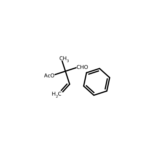 C=CC(C)(C=O)OC(C)=O.c1ccccc1